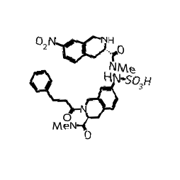 CNC(=O)[C@@H]1Cc2ccc(NS(=O)(=O)O)cc2CN1C(=O)CCc1ccccc1.CNC(=O)[C@@H]1Cc2ccc([N+](=O)[O-])cc2CN1